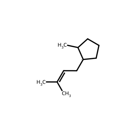 CC(C)=CC[C]1CCCC1C